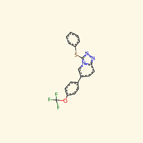 FC(F)(F)Oc1ccc(-c2ccc3nnc(Sc4ccccc4)n3c2)cc1